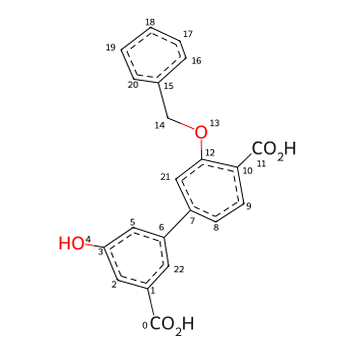 O=C(O)c1cc(O)cc(-c2ccc(C(=O)O)c(OCc3ccccc3)c2)c1